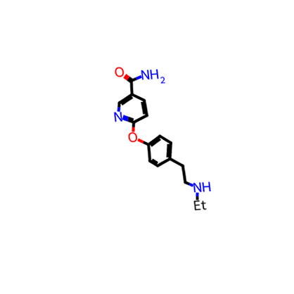 CCNCCc1ccc(Oc2ccc(C(N)=O)cn2)cc1